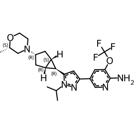 CC(C)n1nc(-c2cnc(N)c(OC(F)(F)F)c2)cc1[C@H]1[C@@H]2C[C@H](N3CCO[C@@H](C)C3)C[C@@H]21